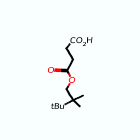 CC(C)(C)C(C)(C)COC(=O)CCC(=O)O